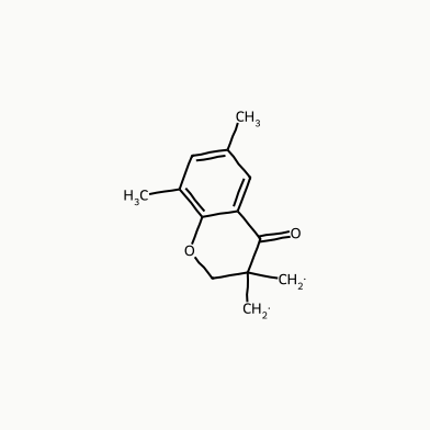 [CH2]C1([CH2])COc2c(C)cc(C)cc2C1=O